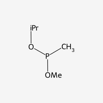 COP(C)OC(C)C